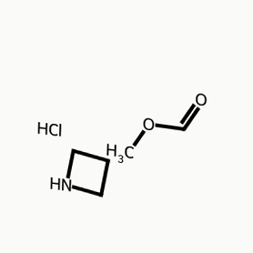 C1CNC1.COC=O.Cl